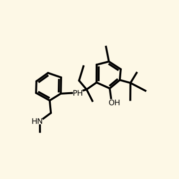 CCC(C)(Pc1ccccc1CNC)c1cc(C)cc(C(C)(C)C)c1O